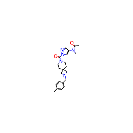 CC(=O)N(C)c1cnn(C(=O)N2CCC3(CC2)CN(Cc2ccc(C)cc2)C3)c1